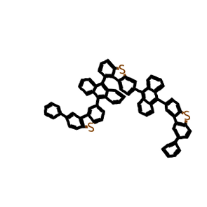 c1ccc(-c2ccc3sc4ccc(-c5c6ccccc6c(-c6ccc7c(c6)sc6cccc(-c8c9ccccc9c(-c9ccc%10sc%11ccc(-c%12ccccc%12)cc%11c%10c9)c9ccccc89)c67)c6ccccc56)cc4c3c2)cc1